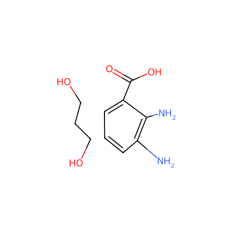 Nc1cccc(C(=O)O)c1N.OCCCO